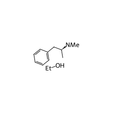 CCO.CN[C@@H](C)Cc1ccccc1